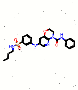 CCCCNS(=O)(=O)c1cccc(Nc2cnc3c(c2)OCCN3C(=O)Nc2ccccc2)c1